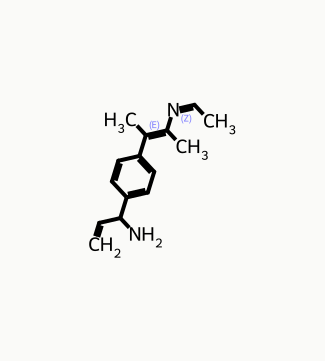 C=CC(N)c1ccc(/C(C)=C(C)/N=C\C)cc1